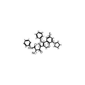 N#CC(C(=O)Nc1ccccc1)C(=O)c1nn(-c2ccccc2)c2c1COc1c-2cc(F)cc1N1CCCC1